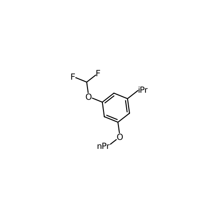 [CH2]C(C)c1cc(OCCC)cc(OC(F)F)c1